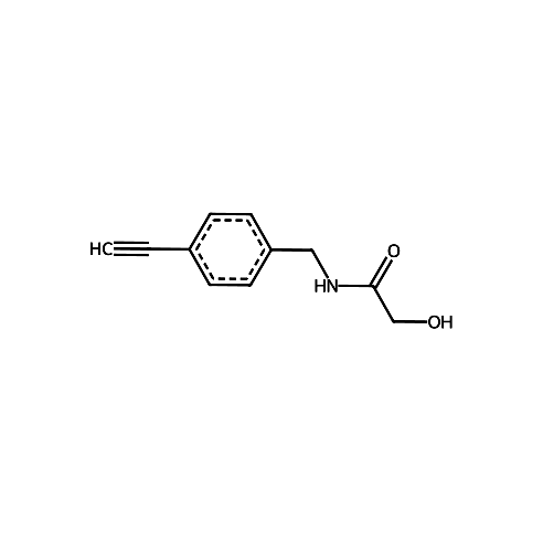 C#Cc1ccc(CNC(=O)CO)cc1